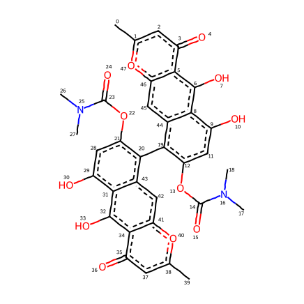 Cc1cc(=O)c2c(O)c3c(O)cc(OC(=O)N(C)C)c(-c4c(OC(=O)N(C)C)cc(O)c5c(O)c6c(=O)cc(C)oc6cc45)c3cc2o1